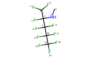 CNC(F)(C(F)F)C(F)(F)C(F)(F)C(F)(F)F